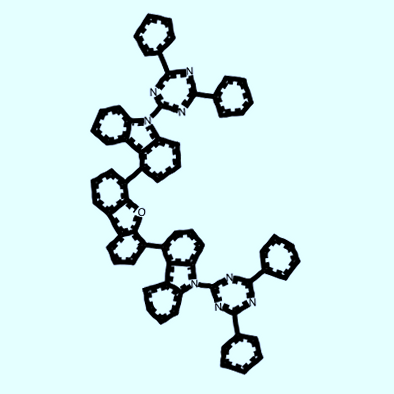 c1ccc(-c2nc(-c3ccccc3)nc(-n3c4ccccc4c4c(-c5cccc6c5oc5c(-c7cccc8c7c7ccccc7n8-c7nc(-c8ccccc8)nc(-c8ccccc8)n7)cccc56)cccc43)n2)cc1